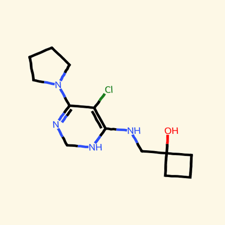 OC1(CNC2=C(Cl)C(N3CCCC3)=NCN2)CCC1